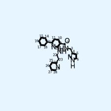 O=C(NCc1cc[nH]n1)c1ccc(-c2ccccc2)nc1NCCc1ccccn1